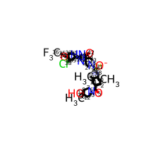 Cc1cc(C(=O)N2CCC(C)(O)CC2)cc(C)c1/C=C/[S+]([O-])N1CCC2(CC1)N=C(c1ccc(OCC(F)(F)F)c(Cl)c1)NC2=O